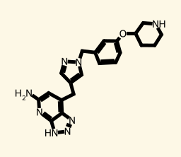 Nc1cc(Cc2cnn(Cc3cccc(OC4CCCNC4)c3)c2)c2nn[nH]c2n1